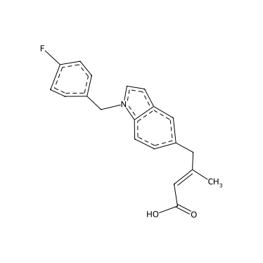 CC(=CC(=O)O)Cc1ccc2c(ccn2Cc2ccc(F)cc2)c1